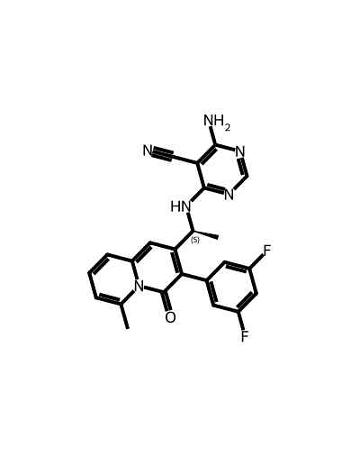 Cc1cccc2cc([C@H](C)Nc3ncnc(N)c3C#N)c(-c3cc(F)cc(F)c3)c(=O)n12